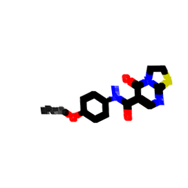 CCCCCO[C@H]1CC[C@H](NC(=O)c2cnc3n(c2=O)CCS3)CC1